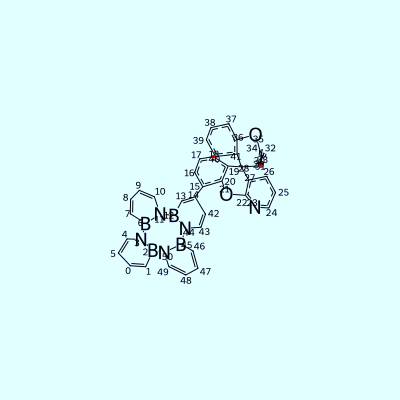 C1=CB2N(C=C1)B1C=CC=CN1B1C=C(c3cccc4c3Oc3ncccc3C43c4ccccc4Oc4ccccc43)C=CN1B1C=CC=CN21